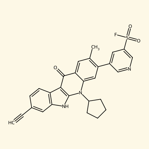 C#Cc1ccc2c(c1)[nH]c1c2c(=O)c2cc(C)c(-c3cncc(S(=O)(=O)F)c3)cc2n1C1CCCC1